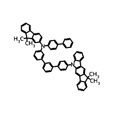 CC1(C)c2ccccc2-c2ccc(N(c3ccc(-c4ccccc4)cc3)c3cccc(-c4cccc(-c5ccc(-n6c7ccccc7c7cc8c(cc76)-c6ccccc6C8(C)C)cc5)c4)c3)cc21